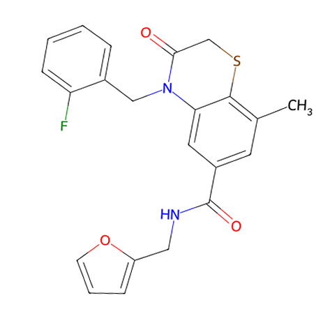 Cc1cc(C(=O)NCc2ccco2)cc2c1SCC(=O)N2Cc1ccccc1F